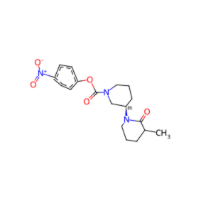 CC1CCCN([C@@H]2CCCN(C(=O)Oc3ccc([N+](=O)[O-])cc3)C2)C1=O